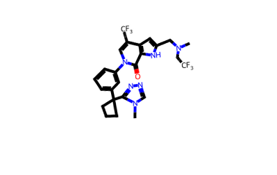 CN(Cc1cc2c(C(F)(F)F)cn(-c3cccc(C4(c5nncn5C)CCC4)c3)c(=O)c2[nH]1)CC(F)(F)F